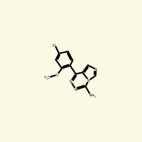 Nc1nnc(-c2ccc(Cl)cc2OC(F)(F)F)c2cncn12